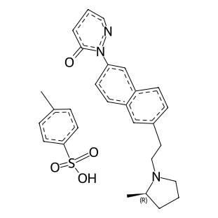 C[C@@H]1CCCN1CCc1ccc2cc(-n3ncccc3=O)ccc2c1.Cc1ccc(S(=O)(=O)O)cc1